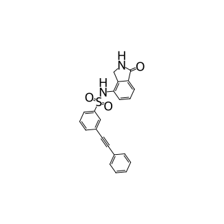 O=C1NCc2c(NS(=O)(=O)c3cccc(C#Cc4ccccc4)c3)cccc21